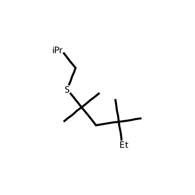 CCC(C)(C)CC(C)(C)SCC(C)C